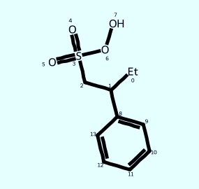 CCC(CS(=O)(=O)OO)c1ccccc1